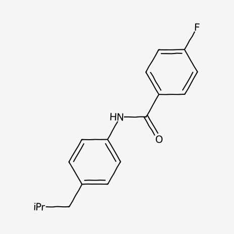 CC(C)Cc1ccc(NC(=O)c2ccc(F)cc2)cc1